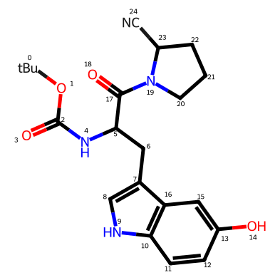 CC(C)(C)OC(=O)NC(Cc1c[nH]c2ccc(O)cc12)C(=O)N1CCCC1C#N